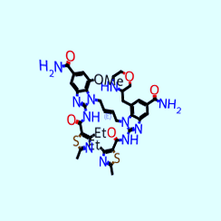 CCc1nc(C)sc1C(=O)Nc1nc2cc(C(N)=O)cc(CC3COCCN3)c2n1C/C=C/Cn1c(NC(=O)c2sc(C)nc2CC)nc2cc(C(N)=O)cc(OC)c21